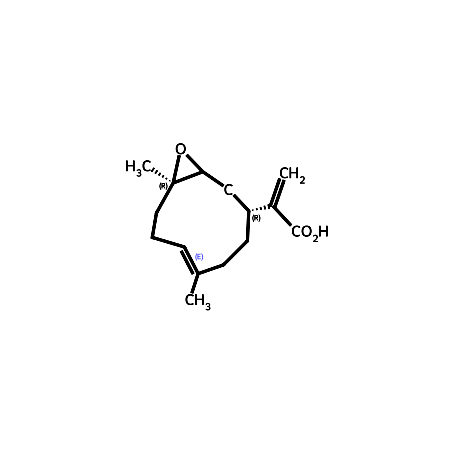 C=C(C(=O)O)[C@@H]1CC/C(C)=C/CC[C@@]2(C)OC2C1